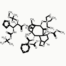 CC[Si](CC)(CC)O[C@H]1C(=O)[C@@]2(C)C([C@H](OC(=O)c3ccccc3)[C@]3(O)C[C@H](OC(=O)[C@H](OC(C)(C)OC)[C@@H](NC(=O)OC(C)(C)C)c4cccs4)C(C)=C1C3(C)C)[C@]1(OC(C)=O)CO[C@@H]1C[C@@H]2OC(=O)OC